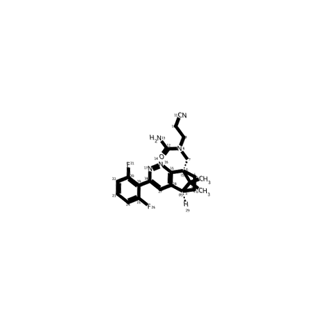 CC1(C)[C@H]2CC[C@]1(CN(CCC#N)C(N)=O)c1nnc(-c3c(F)cccc3F)cc12